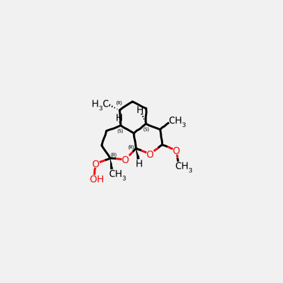 COC1O[C@@H]2O[C@](C)(OO)CC[C@@H]3C2[C@@H](CC[C@H]3C)C1C